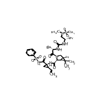 C=CC1C[C@]1(NC(=O)[C@@H]1C2[C@H](CN1C(=O)[C@@H](NC(=O)N[C@H](CN(C)S(C)(=O)=O)C(C)C)C(C)(C)C)C2(C)C)C(=O)NS(=O)(=O)c1ccccc1